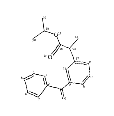 C=C(c1ccccc1)c1cccc(C(C)C(=O)OC(C)C)c1